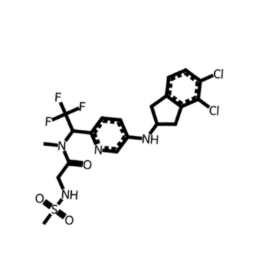 CN(C(=O)CNS(C)(=O)=O)C(c1ccc(NC2Cc3ccc(Cl)c(Cl)c3C2)cn1)C(F)(F)F